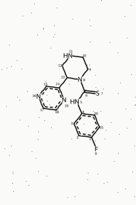 Fc1ccc(NC(=S)N2CCNCC2c2cnccn2)cc1